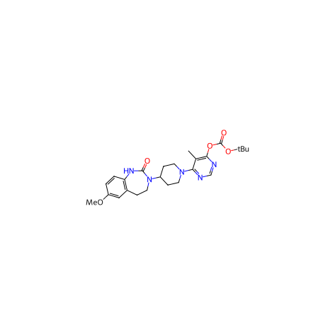 COc1ccc2c(c1)CCN(C1CCN(c3ncnc(OC(=O)OC(C)(C)C)c3C)CC1)C(=O)N2